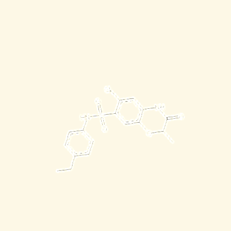 CCc1ccc(NS(=O)(=O)c2cc3c(cc2Cl)NC(=O)C(C)O3)cc1